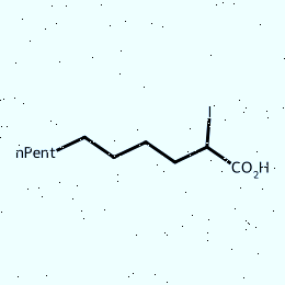 CCCCCCCCCC(I)C(=O)O